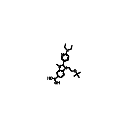 CCN(CC)c1ccc(C2N(C)c3cc(B(O)O)ccc3N2CCOC(C)(C)C)cn1